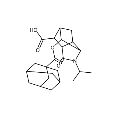 CC(C)N1C(=O)C2C3CC(C(OC(=O)C45CC6CC(CC(C6)C4)C5)C31)C2C(=O)O